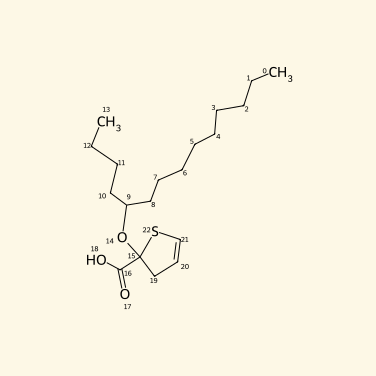 CCCCCCCCCC(CCCC)OC1(C(=O)O)CC=CS1